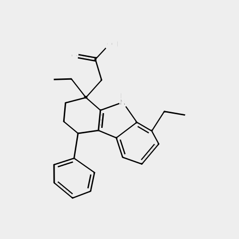 CCc1cccc2c3c([nH]c12)C(CC)(CC(=O)O)CCC3c1ccccc1